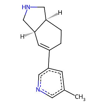 Cc1cncc(C2=C[C@H]3CNC[C@H]3CC2)c1